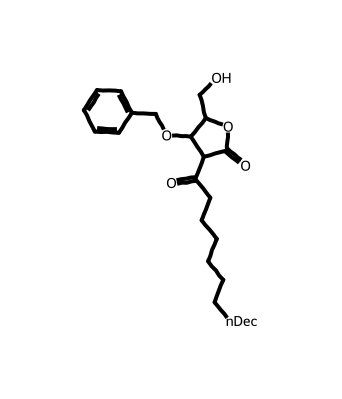 CCCCCCCCCCCCCCCCC(=O)C1C(=O)OC(CO)C1OCc1ccccc1